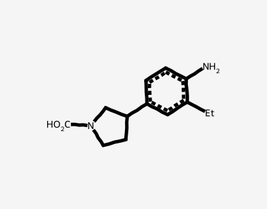 CCc1cc(C2CCN(C(=O)O)C2)ccc1N